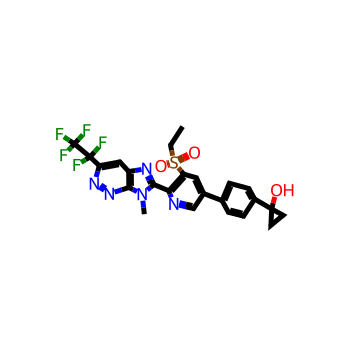 CCS(=O)(=O)c1cc(-c2ccc(C3(O)CC3)cc2)cnc1-c1nc2cc(C(F)(F)C(F)(F)F)nnc2n1C